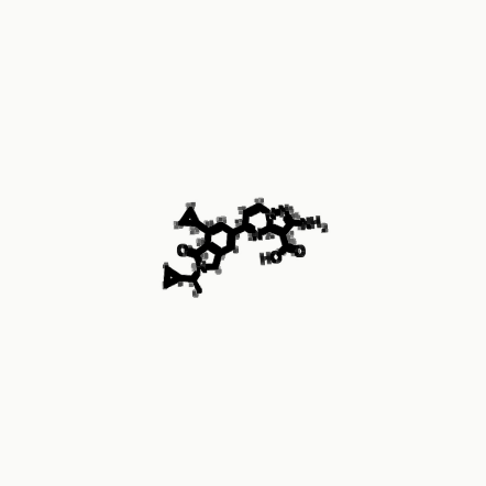 C[C@@H](C1CC1)N1Cc2cc(-c3ccn4nc(N)c(C(=O)O)c4n3)cc(C3CC3)c2C1=O